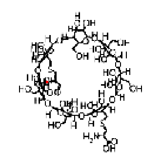 NC(C=O)CSCC1O[C@H]2O[C@@H]3C(CO)O[C@H](O[C@@H]4C(CO)O[C@H](O[C@@H]5C(CO)O[C@H](O[C@@H]6C(CSC[C@@H](N)C(=O)O)O[C@H](O[C@@H]7C(CO)O[C@@H](O[C@@H]8C(CO)O[C@@H](O[C@H]1[C@H](O)C2O)C(O)[C@H]8O)C(O)[C@H]7O)C(O)[C@H]6O)C(O)[C@H]5O)C(O)[C@H]4O)C(O)[C@H]3O